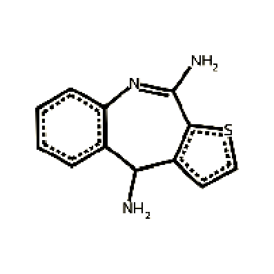 NC1=Nc2ccccc2C(N)c2ccsc21